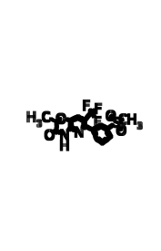 C[C@H]1Oc2cc(C(F)(F)F)c(-c3cccc(S(C)(=O)=O)c3)nc2NC1=O